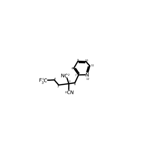 N#CC(C#N)(CCC(F)(F)F)Cc1ccccn1